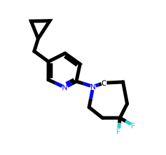 FC1(F)CCCN(c2[c]cc(CC3CC3)cn2)CC1